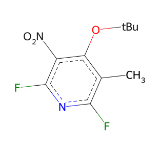 Cc1c(F)nc(F)c([N+](=O)[O-])c1OC(C)(C)C